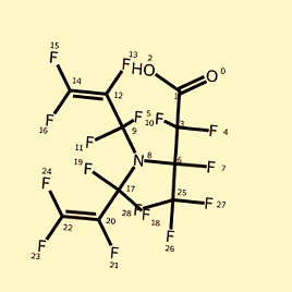 O=C(O)C(F)(F)C(F)(N(C(F)(F)C(F)=C(F)F)C(F)(F)C(F)=C(F)F)C(F)(F)F